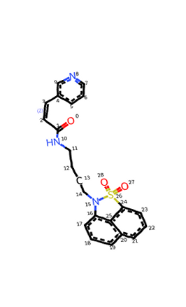 O=C(/C=C\c1cccnc1)NCCCCN1c2cccc3cccc(c23)S1(=O)=O